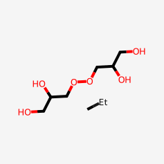 CCC.OCC(O)COOCC(O)CO